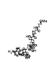 COSCCNC(=O)CCNC(=O)[C@H](O)C(C)(C)COP(=O)(O)OP(=O)(O)OC[C@H]1O[C@@H](n2cnc3c(N)ncnc32)[C@H](O)[C@@H]1OP(=O)(O)O